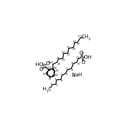 CCCCCCCCCCCCS(=O)(=O)O.CCCCCCCCCCCCc1ccccc1S(=O)(=O)O.[NaH]